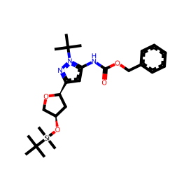 CC(C)(C)n1nc([C@H]2C[C@@H](O[Si](C)(C)C(C)(C)C)CO2)cc1NC(=O)OCc1ccccc1